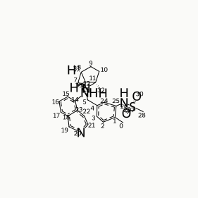 Cc1ccc(CN2C[C@H]3CC[C@@H]2[C@@H]3Nc2cccc3cnccc23)cc1NS(C)(=O)=O